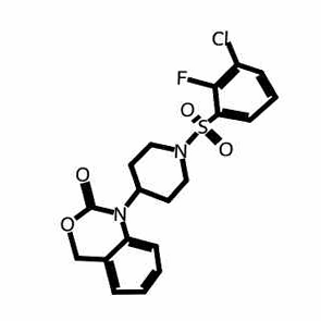 O=C1OCc2ccccc2N1C1CCN(S(=O)(=O)c2cccc(Cl)c2F)CC1